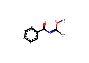 CCCC(=NC(=O)c1ccccc1)OCC